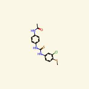 CSc1ccc(NC(=S)Nc2ccc(NC(C)=O)cc2)cc1Cl